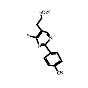 CCCCCCCCCCCCc1cnc(-c2ccc(C#N)cc2)nc1F